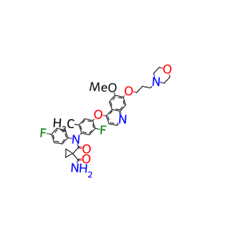 COc1cc2c(Oc3cc(C)c(N(C(=O)C4(C(N)=O)CC4)c4ccc(F)cc4)cc3F)ccnc2cc1OCCCN1CCOCC1